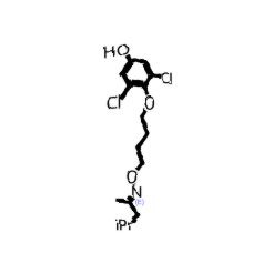 C/C(CC(C)C)=N\OCCCCOc1c(Cl)cc(O)cc1Cl